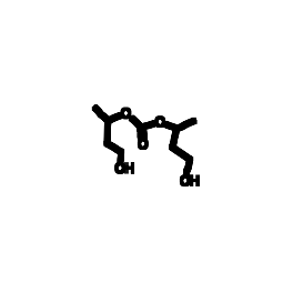 CC(CCO)OC(=O)OC(C)CCO